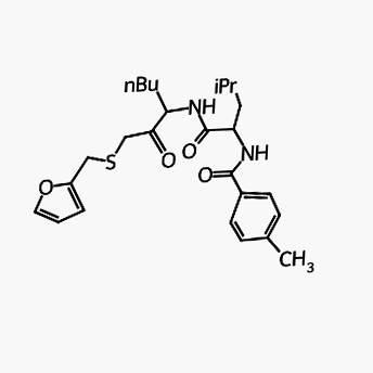 CCCCC(NC(=O)C(CC(C)C)NC(=O)c1ccc(C)cc1)C(=O)CSCc1ccco1